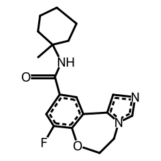 CC1(NC(=O)c2cc(F)c3c(c2)-c2cncn2CCO3)CCCCC1